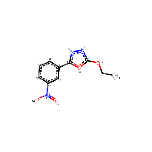 CCOc1nnc(-c2cccc([N+](=O)[O-])c2)o1